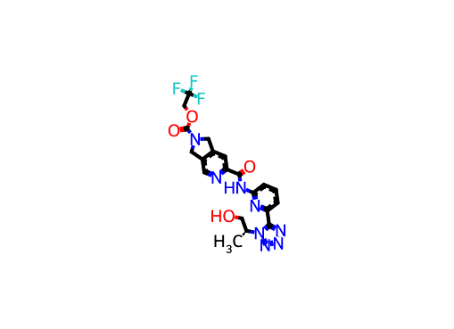 C[C@H](CO)n1nnnc1-c1cccc(NC(=O)c2cc3c(cn2)CN(C(=O)OCC(F)(F)F)C3)n1